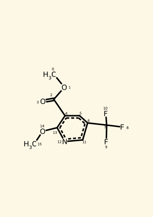 COC(=O)c1cc(C(F)(F)F)cnc1OC